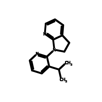 CC(C)c1cccnc1N1CCc2cccnc21